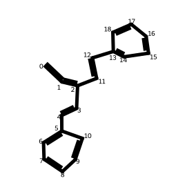 C=C=C(C=Cc1ccccc1)C=Cc1ccccc1